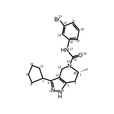 C[C@@H]1Cc2[nH]nc(C3CCCC3)c2CN1C(=O)Nc1cccc(Br)c1